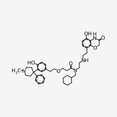 CN1CCC(c2ccccc2)(c2cc(CCOCCC(=O)N(CCNCCc3ccc(O)c4c3OCC(=O)N4)CC3CCCCC3)ccc2O)CC1